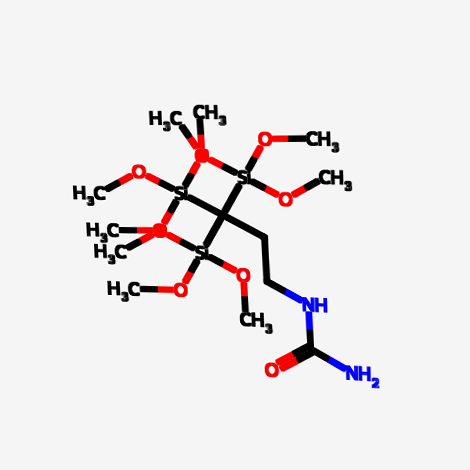 CO[Si](OC)(OC)C(CCNC(N)=O)([Si](OC)(OC)OC)[Si](OC)(OC)OC